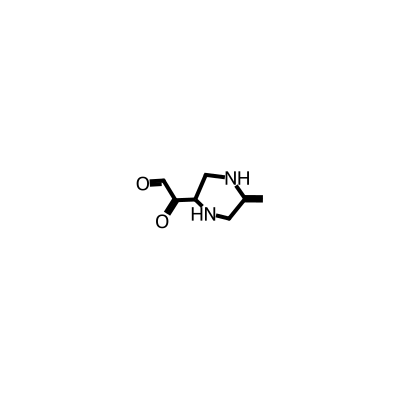 C=C1CNC(C(=O)C=O)CN1